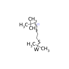 CC(C)(C)/C=C\CCCS[C](C)(C)[W]